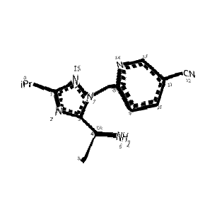 CC(C)c1nc([C@H](C)N)n(-c2ccc(C#N)cn2)n1